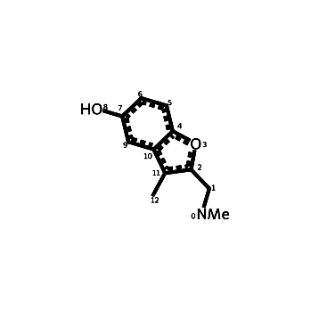 CNCc1oc2ccc(O)cc2c1C